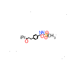 CC(C)C(=O)CCc1ccc(-c2nnc(S(C)(=O)=O)o2)cc1